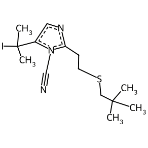 CC(C)(C)CSCCc1ncc(C(C)(C)I)n1C#N